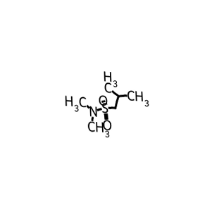 CC(C)CS(=O)(=O)N(C)C